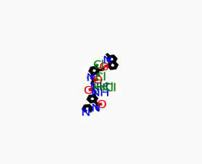 Cc1ccc2cccc(OCc3c(Cl)ccc(N(C)C(=O)CNC(=O)Nc4cccc(C(=O)N(C)c5cccnc5)c4)c3Cl)c2n1.Cl.Cl